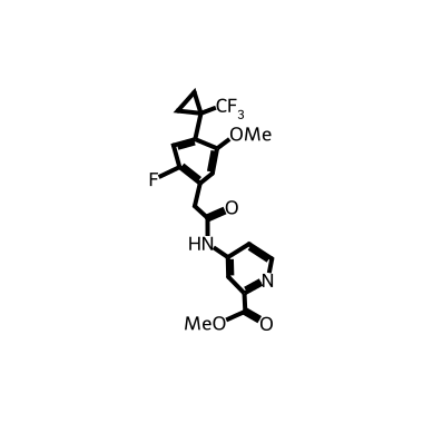 COC(=O)c1cc(NC(=O)Cc2cc(OC)c(C3(C(F)(F)F)CC3)cc2F)ccn1